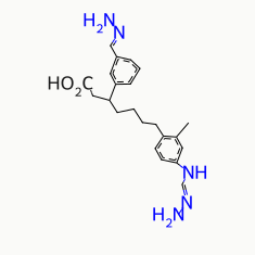 Cc1cc(NC=NN)ccc1CCCCC(CC(=O)O)c1cccc(C=NN)c1